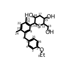 CCOc1ccc(Cc2cc(C3SC(CO)C(O)CC3O)c(C)cc2C)cc1